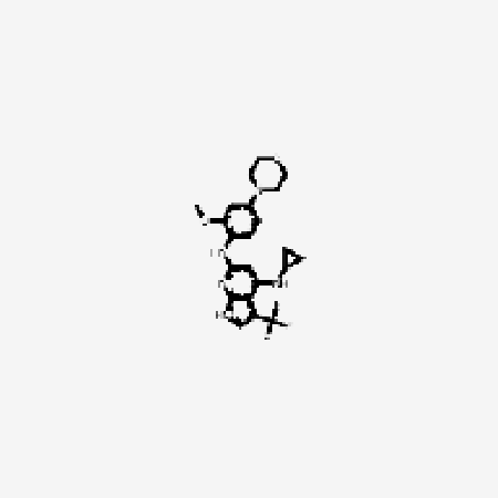 COc1cc(N2CCOCC2)ccc1Nc1cc(NC2CC2)c2c(C(F)(F)F)c[nH]c2n1